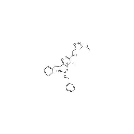 COC1=NOC(CNC(=O)[C@H](C)NC(=O)[C@H](Cc2ccccc2)NC(=O)OCc2ccccc2)C1